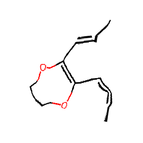 CC=CC1=C(/C=C\C)OCCO1